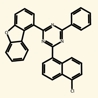 Clc1cccc2c(-c3nc(-c4ccccc4)nc(-c4cccc5oc6ccccc6c45)n3)cccc12